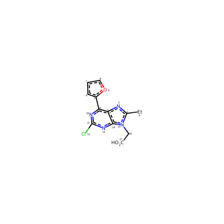 CCc1nc2c(-c3ccco3)nc(Cl)nc2n1CC(=O)O